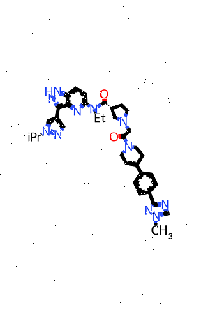 CCN(C(=O)[C@@H]1CCN(CC(=O)N2CC=C(c3ccc(-c4ncn(C)n4)cc3)CC2)C1)c1ccc2[nH]nc(-c3cnn(C(C)C)c3)c2n1